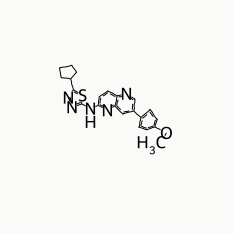 COc1ccc(-c2cnc3ccc(Nc4nnc(C5CCCC5)s4)nc3c2)cc1